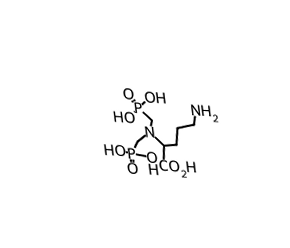 NCCCC(C(=O)O)N(CP(=O)(O)O)CP(=O)(O)O